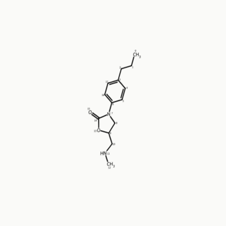 CCCc1ccc(N2CC(CNC)OC2=O)cc1